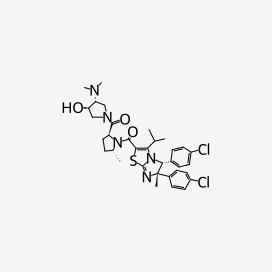 CC(C)C1=C(C(=O)N2[C@H](C)CC[C@H]2C(=O)N2C[C@@H](O)[C@H](N(C)C)C2)SC2=N[C@@](C)(c3ccc(Cl)cc3)[C@@H](c3ccc(Cl)cc3)N21